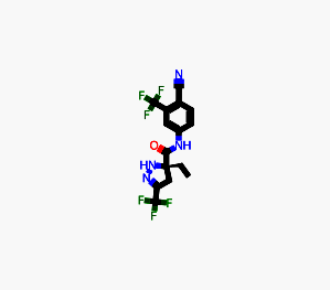 CC[C@@]1(C(=O)Nc2ccc(C#N)c(C(F)(F)F)c2)CC(C(F)(F)F)=NN1